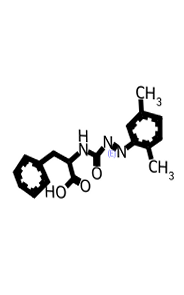 Cc1ccc(C)c(/N=N/C(=O)NC(Cc2ccccc2)C(=O)O)c1